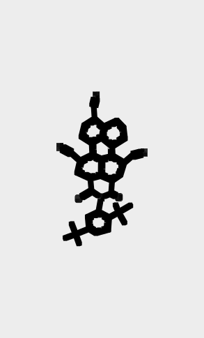 CC(C)(C)c1ccc(C(C)(C)C)c(N2C(=O)c3cc(C#N)c4c5cccc6c(C#N)ccc(c7c(C#N)cc(c3c47)C2=O)c65)c1